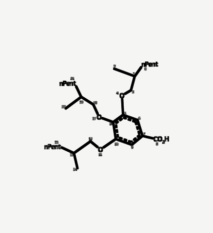 CCCCCC(C)COc1cc(C(=O)O)cc(OCC(C)CCCCC)c1OCC(C)CCCCC